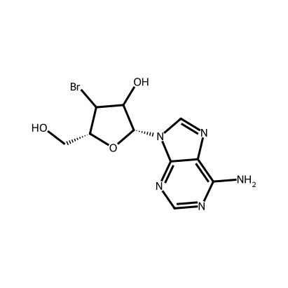 Nc1ncnc2c1ncn2[C@@H]1O[C@H](CO)C(Br)C1O